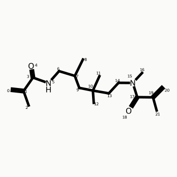 C=C(C)C(=O)NCC(C)CC(C)(C)CCN(C)C(=O)C(=C)C